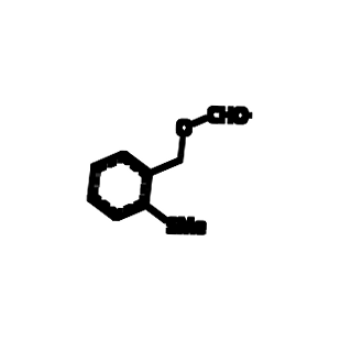 CSc1ccccc1CO[C]=O